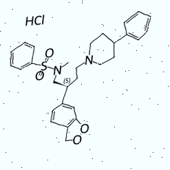 CN(C[C@@H](CCN1CCC(c2ccccc2)CC1)c1ccc2c(c1)OOC2)S(=O)(=O)c1ccccc1.Cl